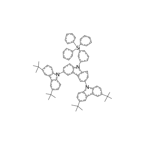 CC(C)(C)c1ccc2c(c1)c1cc(C(C)(C)C)ccc1n2-c1ccc2c(c1)c1cc(-n3c4ccc(C(C)(C)C)cc4c4cc(C(C)(C)C)ccc43)ccc1n2-c1cccc([Si](c2ccccc2)(c2ccccc2)c2ccccc2)c1